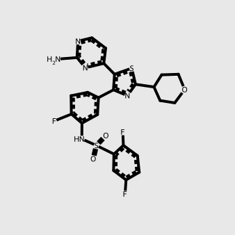 Nc1nccc(-c2sc(C3CCOCC3)nc2-c2ccc(F)c(NS(=O)(=O)c3cc(F)ccc3F)c2)n1